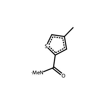 C[N]C(=O)c1cc(C)cs1